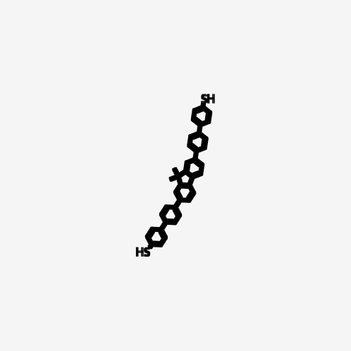 CC1(C)c2cc(-c3ccc(-c4ccc(S)cc4)cc3)ccc2-c2ccc(-c3ccc(-c4ccc(S)cc4)cc3)cc21